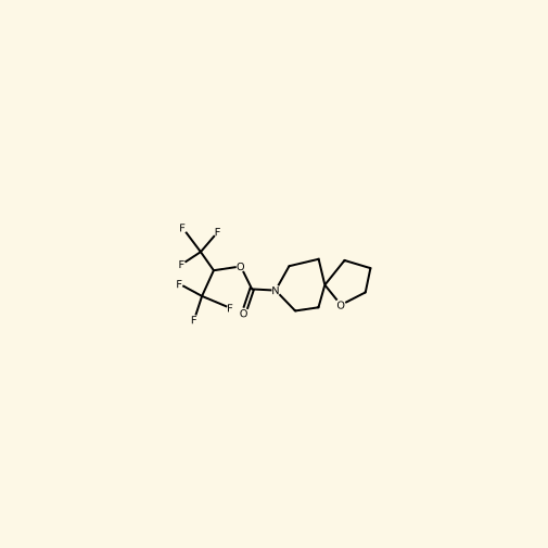 O=C(OC(C(F)(F)F)C(F)(F)F)N1CCC2(CCCO2)CC1